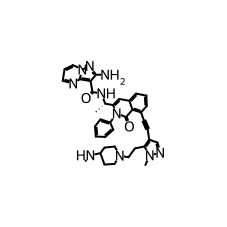 CNC1CCN(CCc2c(C#Cc3cccc4cc([C@H](C)NC(=O)c5c(N)nn6cccnc56)n(-c5ccccc5)c(=O)c34)cnn2C)CC1